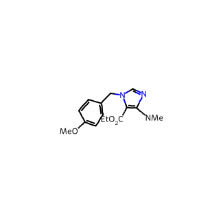 CCOC(=O)c1c(NC)ncn1Cc1ccc(OC)cc1